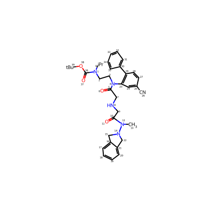 CC(C)N(CCN(C(=O)CNCC(=O)N(C)N1Cc2ccccc2C1)c1cc(C#N)ccc1-c1ccccc1)C(=O)OC(C)(C)C